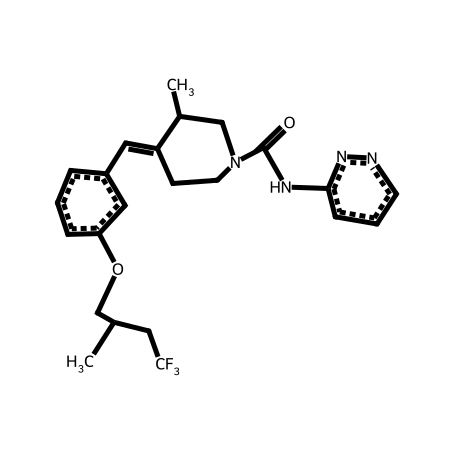 CC(COc1cccc(C=C2CCN(C(=O)Nc3cccnn3)CC2C)c1)CC(F)(F)F